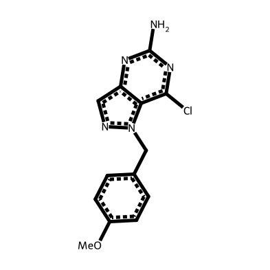 COc1ccc(Cn2ncc3nc(N)nc(Cl)c32)cc1